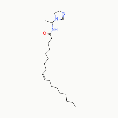 CCCCCCCC/C=C\CCCCCCCC(=O)NC(C)N1C=NCC1